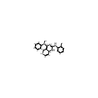 Cc1ccccc1NC1=NC(N(C)c2ccccc2)=C2CSC=CC2N1